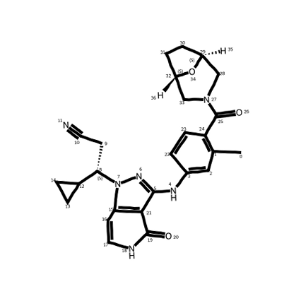 Cc1cc(Nc2nn([C@@H](CC#N)C3CC3)c3cc[nH]c(=O)c23)ccc1C(=O)N1C[C@@H]2CC[C@@H](C1)O2